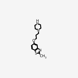 Cc1nc2cc(OCCCN3CCNCC3)ccc2s1